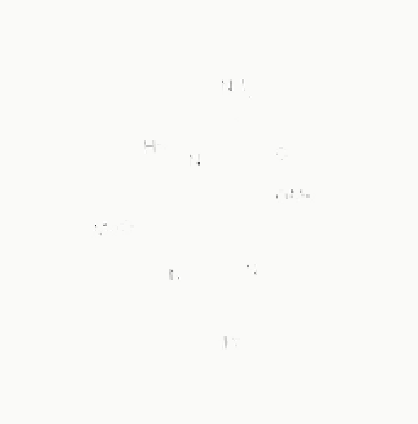 COc1nc(C(C)C)nc(OC)c1N(S)C(N)=O